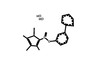 Cl.Cl.[CH2]=[Ti]([O]c1cccc(-c2ccccc2)c1)[C]1=C(C)C(C)=C(C)C1C